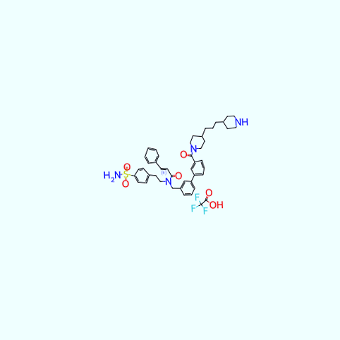 NS(=O)(=O)c1ccc(CCN(Cc2cccc(-c3cccc(C(=O)N4CCC(CCCC5CCNCC5)CC4)c3)c2)C(=O)/C=C/c2ccccc2)cc1.O=C(O)C(F)(F)F